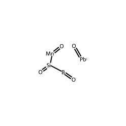 O=B[Si](=O)[Mn]=[O].[O]=[Pb]